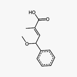 COC(C=C(C)C(=O)O)c1ccccc1